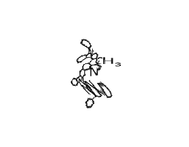 Cc1ccnc2c1c(-c1cccc3c1c1ccccc1n3-c1ccccc1)cc1cc3c4ccccc4n(-c4nc(-c5ccccc5)cc(-c5ccccc5)n4)c3cc12